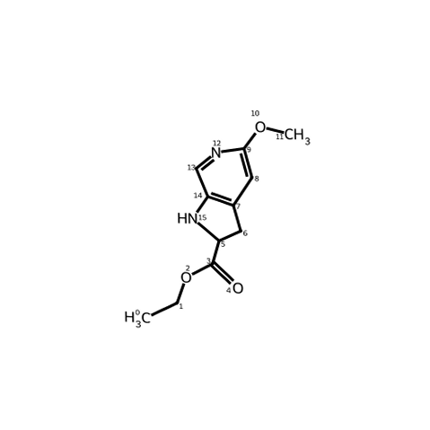 CCOC(=O)C1Cc2cc(OC)ncc2N1